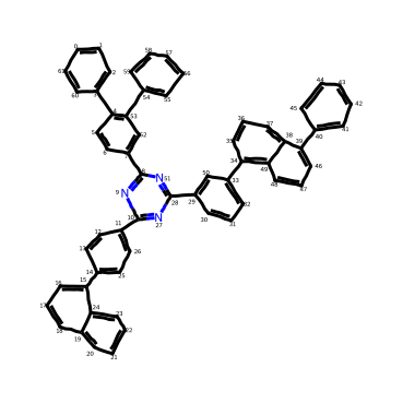 c1ccc(-c2ccc(-c3nc(-c4ccc(-c5cccc6ccccc56)cc4)nc(-c4cccc(-c5cccc6c(-c7ccccc7)cccc56)c4)n3)cc2-c2ccccc2)cc1